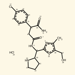 Cc1nc(C(NC(=O)CC(C(N)=O)c2ccc(Cl)cc2)C2CCCN2)sc1CO.Cl